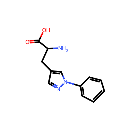 NC(Cc1cnn(-c2ccccc2)c1)C(=O)O